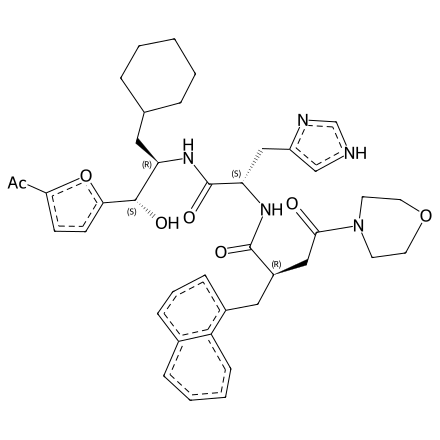 CC(=O)c1ccc([C@@H](O)[C@@H](CC2CCCCC2)NC(=O)[C@H](Cc2c[nH]cn2)NC(=O)[C@@H](CC(=O)N2CCOCC2)Cc2cccc3ccccc23)o1